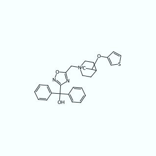 OC(c1ccccc1)(c1ccccc1)c1noc(C[N+]23CCC(CC2)C(Oc2ccsc2)C3)n1